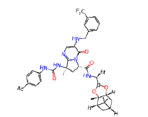 CC[C@H](NC(=O)[C@@H]1C[C@@](C)(NC(=O)Nc2ccc(C(C)=O)cc2)c2ncc(NCc3cccc(C(F)(F)F)c3)c(=O)n21)B1O[C@@H]2C[C@@H]3C[C@@H](C3(C)C)[C@]2(C)O1